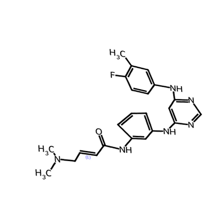 Cc1cc(Nc2cc(Nc3cccc(NC(=O)/C=C/CN(C)C)c3)ncn2)ccc1F